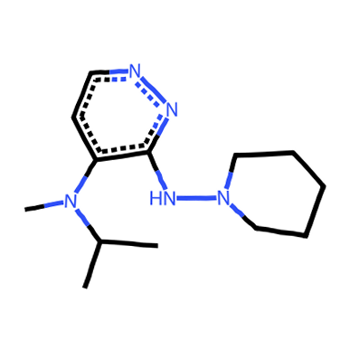 CC(C)N(C)c1ccnnc1NN1CCCCC1